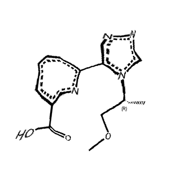 COC[C@@H](C)n1cnnc1-c1cccc(C(=O)O)n1